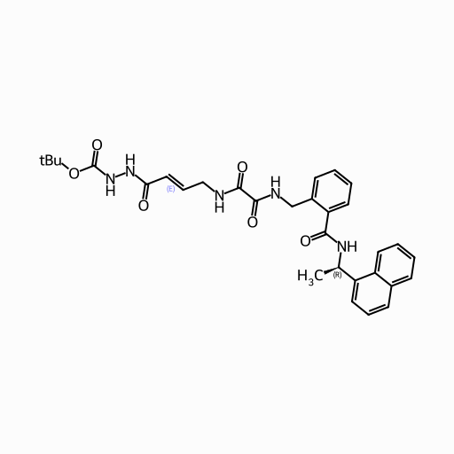 C[C@@H](NC(=O)c1ccccc1CNC(=O)C(=O)NC/C=C/C(=O)NNC(=O)OC(C)(C)C)c1cccc2ccccc12